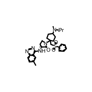 Cc1ccc2ncnc(N[C@H]3CCN(C4(CS(=O)(=O)c5ccccc5)CCC(N(C)C(C)C)CC4)C3=O)c2c1